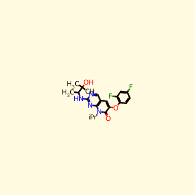 CC(C)n1c(=O)c(Oc2ccc(F)cc2F)cc2cnc(NC(C)C(C)(C)O)nc21